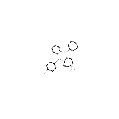 Cl.Clc1ccc(Cc2ccccc2P(c2ccccc2)c2ccccc2)cc1.P